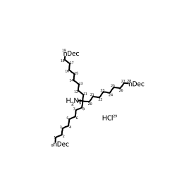 CCCCCCCCCCCCCCCCCCC(N)(CCCCCCCCCCCCCCCCCC)CCCCCCCCCCCCCCCCCC.Cl